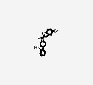 O=C(c1cc2cc(Br)ccc2o1)N1CCc2c([nH]c3ccccc23)C1